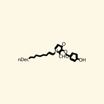 CCCCCCCCCCCCCCCCC=Cn1ccc(=O)c(OCc2ccc(O)cc2)c1C=O